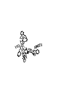 COc1ccccc1CN1CCC(CNC[C@@H](O)[C@H](Cc2ccccc2)NC(=O)c2cc(C(=O)N[C@H](C)c3ccccc3)cc(N(C)S(C)(=O)=O)c2)CC1.Cl.Cl